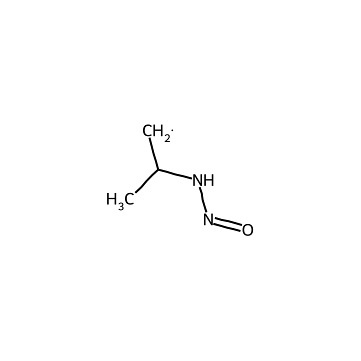 [CH2]C(C)NN=O